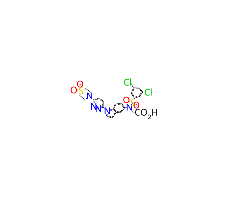 O=C(O)CN(c1ccc2c(ccn2-c2ccc(N3CCS(=O)(=O)CC3)nn2)c1)S(=O)(=O)c1cc(Cl)cc(Cl)c1